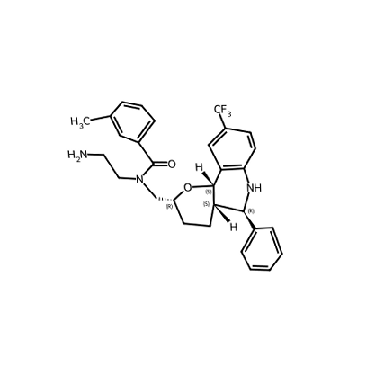 Cc1cccc(C(=O)N(CCN)C[C@H]2CC[C@@H]3[C@H](O2)c2cc(C(F)(F)F)ccc2N[C@H]3c2ccccc2)c1